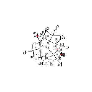 IC(I)(I)C([C](C(C(I)(I)I)(C(I)(I)I)C(I)(I)I)C(C(I)(I)I)(C(I)(I)I)C(I)(I)I)(C(I)(I)I)C(I)(I)I